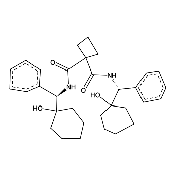 O=C(N[C@H](c1ccccc1)C1(O)CCCCC1)C1(C(=O)N[C@H](c2ccccc2)C2(O)CCCCC2)CCC1